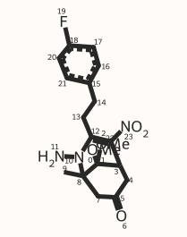 COC1(OC)C2CC(=O)CC1(C)N(N)C(CCc1ccc(F)cc1)=C2[N+](=O)[O-]